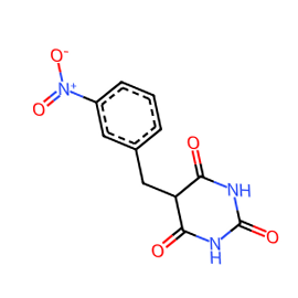 O=C1NC(=O)C(Cc2cccc([N+](=O)[O-])c2)C(=O)N1